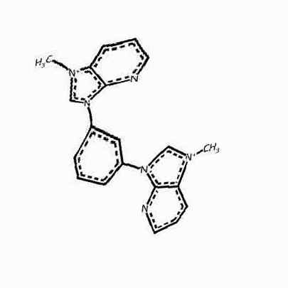 C[n+]1cn(-c2cccc(-n3c[n+](C)c4cccnc43)c2)c2ncccc21